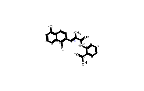 C/C(=C\c1ccc2c(Cl)cccc2c1F)C(=O)Nc1ccccc1C(=O)O